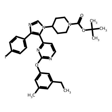 CCc1cc(C)cc(Oc2nccc(-c3c(-c4ccc(I)cc4)ncn3C3CCN(C(=O)OC(C)(C)C)CC3)n2)c1